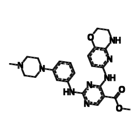 COC(=O)c1cnc(Nc2cccc(N3CCN(C)CC3)c2)nc1Nc1ccc2c(n1)NCCO2